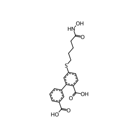 O=C(CCCCSc1ccc(C(=O)O)c(-c2cccc(C(=O)O)c2)c1)NO